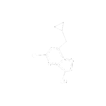 N#Cc1cnn2c(CC3CC3)cc(Cl)nc12